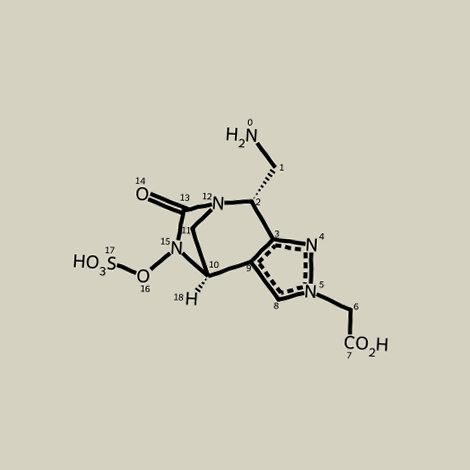 NC[C@@H]1c2nn(CC(=O)O)cc2[C@@H]2CN1C(=O)N2OS(=O)(=O)O